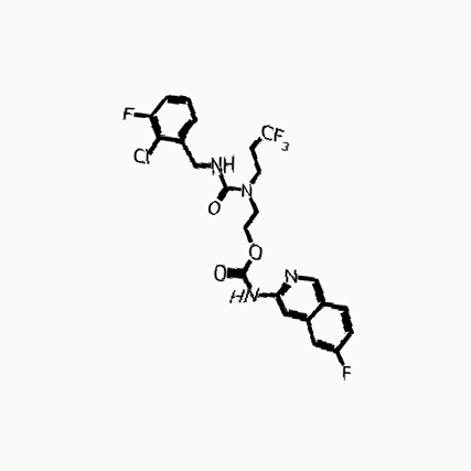 O=C(Nc1cc2cc(F)ccc2cn1)OCCN(CCC(F)(F)F)C(=O)NCc1cccc(F)c1Cl